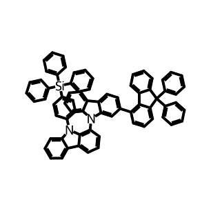 c1ccc(C2(c3ccccc3)c3ccccc3-c3c(-c4ccc5c6ccccc6n(-c6cccc7c8ccccc8n(-c8ccc([Si](c9ccccc9)(c9ccccc9)c9ccccc9)cc8)c67)c5c4)cccc32)cc1